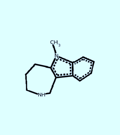 Cn1c2c(c3ccccc31)CNCCC2